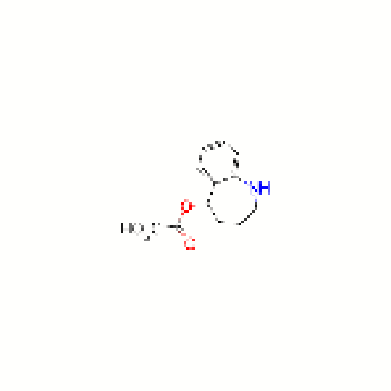 O=C(O)C(=O)OC1CCCNc2ccccc21